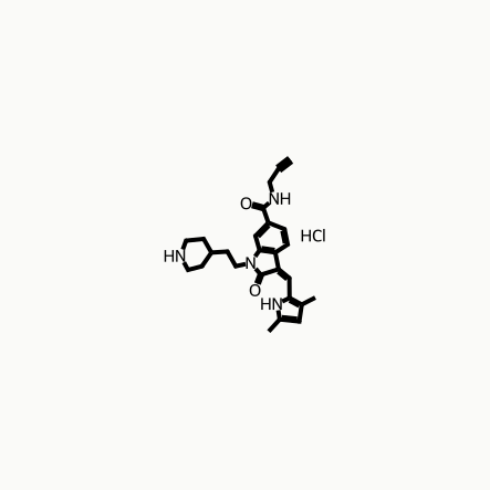 C#CCNC(=O)c1ccc2c(c1)N(CCC1CCNCC1)C(=O)/C2=C\c1[nH]c(C)cc1C.Cl